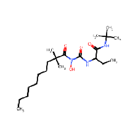 CCCCCCCCC(C)(C)C(=O)N(O)C(=O)NC(CC)C(=O)NC(C)(C)C